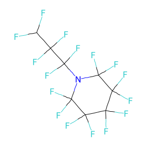 FC(F)C(F)(F)C(F)(F)N1C(F)(F)C(F)(F)C(F)(F)C(F)(F)C1(F)F